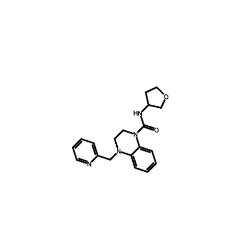 O=C(NC1CCOC1)N1CCN(Cc2ccccn2)c2ccccc21